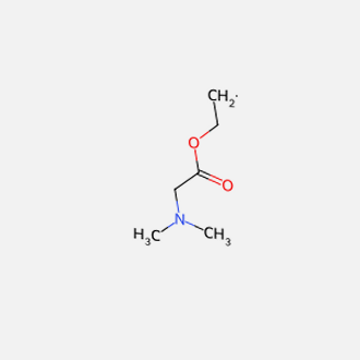 [CH2]COC(=O)CN(C)C